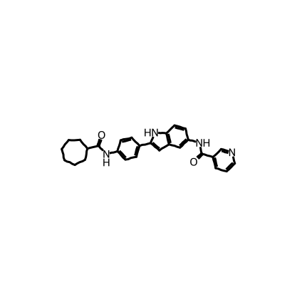 O=C(Nc1ccc2[nH]c(-c3ccc(NC(=O)C4CCCCCC4)cc3)cc2c1)c1cccnc1